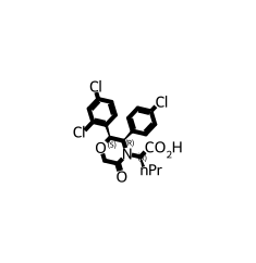 CCC[C@H](C(=O)O)N1C(=O)CO[C@@H](c2ccc(Cl)cc2Cl)[C@H]1c1ccc(Cl)cc1